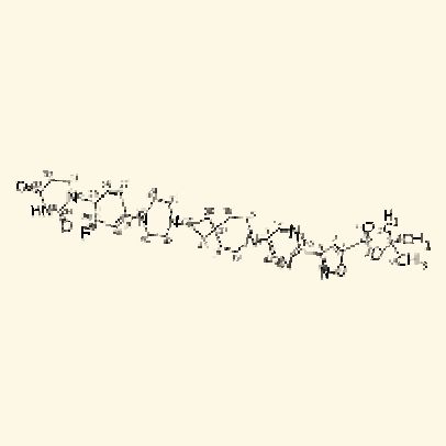 CC(C)(C)OC(=O)c1cc(-c2ncc(N3CCC4(CC3)CC(N3CCN(c5ccc(N6CCC(=O)NC6=O)c(F)c5)CC3)C4)cn2)no1